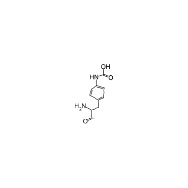 NC([C]=O)Cc1ccc(NC(=O)O)cc1